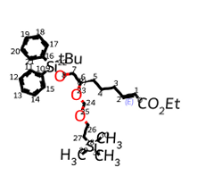 CCOC(=O)/C=C/CCC[C@H](CO[Si](c1ccccc1)(c1ccccc1)C(C)(C)C)OCOCC[Si](C)(C)C